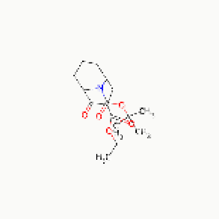 CCOC(=O)C1CC2CCCC(C1=O)N2C(=O)OC(C)(C)C